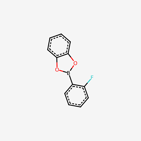 Fc1ccccc1B1Oc2ccccc2O1